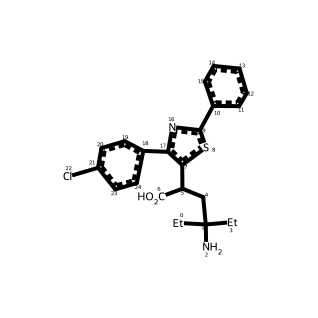 CCC(N)(CC)CC(C(=O)O)c1sc(-c2ccccc2)nc1-c1ccc(Cl)cc1